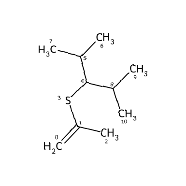 C=C(C)SC(C(C)C)C(C)C